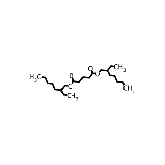 CCCCCC(CC)COC(=O)CCCC(=O)OCC(CC)CCCCC